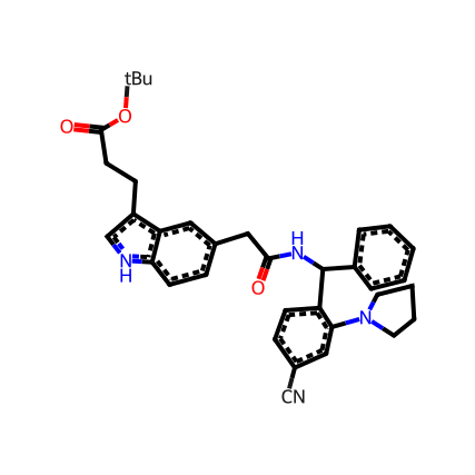 CC(C)(C)OC(=O)CCc1c[nH]c2ccc(CC(=O)NC(c3ccccc3)c3ccc(C#N)cc3N3CCCC3)cc12